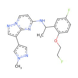 CC(Nc1ccn2ncc(-c3cnn(C)c3)c2n1)c1cc(F)ccc1OCCF